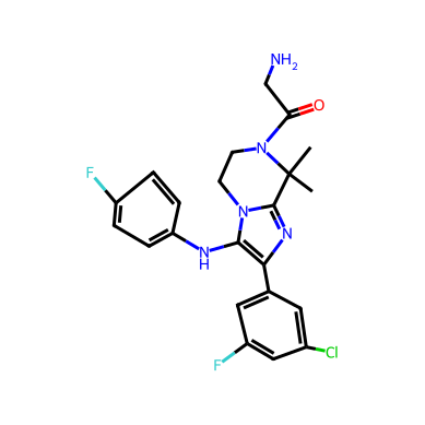 CC1(C)c2nc(-c3cc(F)cc(Cl)c3)c(Nc3ccc(F)cc3)n2CCN1C(=O)CN